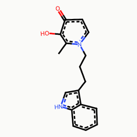 Cc1c(O)c(=O)ccn1CCCc1c[nH]c2ccccc12